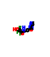 Cc1ccc(-c2noc(C3CCC(CNC(=O)c4cc(F)c(O)c(F)c4F)CC3)n2)nn1